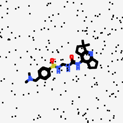 CN(C)Cc1ccc([S+]([O-])NCNC(=O)Nc2c3c(nc4c2CCC4(C)C)CCC3)cc1